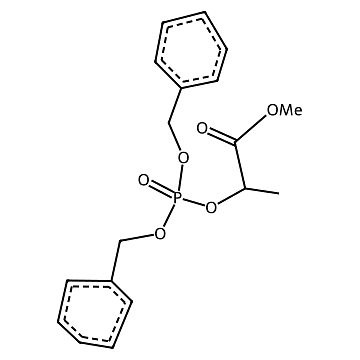 COC(=O)C(C)OP(=O)(OCc1ccccc1)OCc1ccccc1